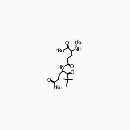 CC(C)(C)NC(CCC(=O)NC(CCC(=O)C(C)(C)C)C(=O)C(C)(C)I)C(=O)C(C)(C)C